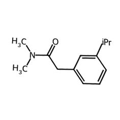 CC(C)c1cccc(CC(=O)N(C)C)c1